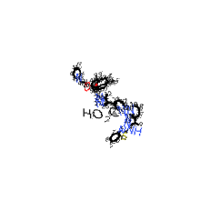 Cc1c(Nc2nc3ccccc3s2)nnc2c1CCCN2c1ccc(-c2cnn(C[C@]34C[C@]5(C)C[C@](C)(C3)C[C@@](OCCN3CCCCC3)(C5)C4)c2C)c(C(=O)O)n1